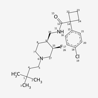 CC(C)(C)CCN1CC[C@@H](CNC(=O)C2(c3ccc(Cl)cc3)CCC2)[C@@H](F)C1